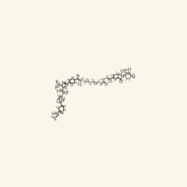 O=C1CCC(N2C(=O)c3ccc(N4CCN(CCOCCOCCNC(=O)c5ccc(-n6cc(NC(=O)c7coc(-c8ccnc(NCC9CC9)c8)n7)c(C(F)F)n6)cc5)CC4)cc3C2=O)C(=O)N1